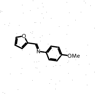 COc1ccc(N=Cc2ccco2)cc1